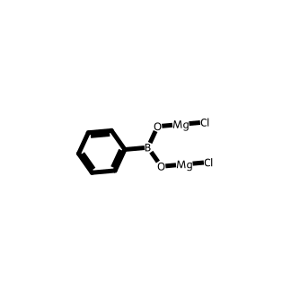 [Cl][Mg][O]B([O][Mg][Cl])c1ccccc1